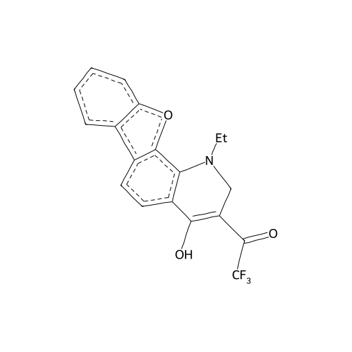 CCN1CC(C(=O)C(F)(F)F)=C(O)c2ccc3c(oc4ccccc43)c21